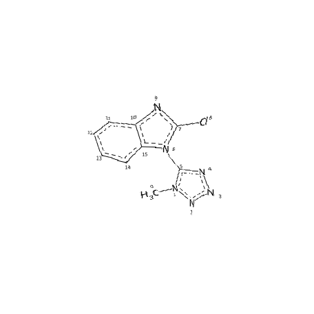 Cn1nnnc1-n1c(Cl)nc2ccccc21